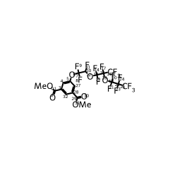 COC(=O)c1cc(OC(F)(F)C(F)OC(F)(F)C(F)(OC(F)(F)C(F)(F)C(F)(F)F)C(F)(F)F)cc(C(=O)OC)c1